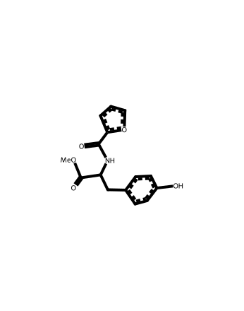 COC(=O)C(Cc1ccc(O)cc1)NC(=O)c1ccco1